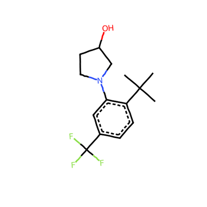 CC(C)(C)c1ccc(C(F)(F)F)cc1N1CCC(O)C1